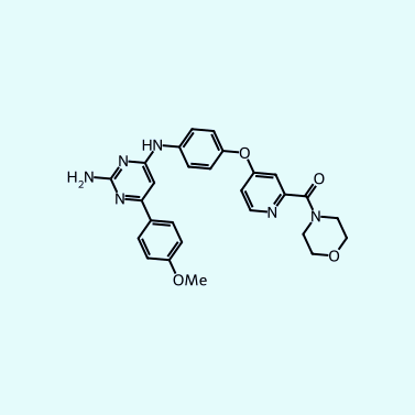 COc1ccc(-c2cc(Nc3ccc(Oc4ccnc(C(=O)N5CCOCC5)c4)cc3)nc(N)n2)cc1